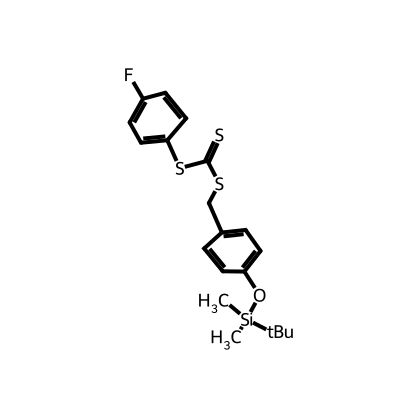 CC(C)(C)[Si](C)(C)Oc1ccc(CSC(=S)Sc2ccc(F)cc2)cc1